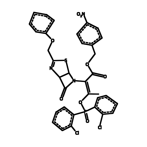 CC(OP(=O)(c1ccccc1Cl)c1ccccc1Cl)=C(C(=O)OCc1ccc([N+](=O)[O-])cc1)N1C(=O)C2N=C(COc3ccccc3)SC21